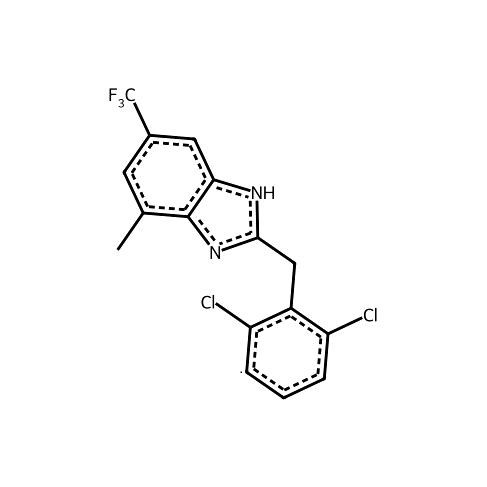 Cc1cc(C(F)(F)F)cc2[nH]c(Cc3c(Cl)[c]ccc3Cl)nc12